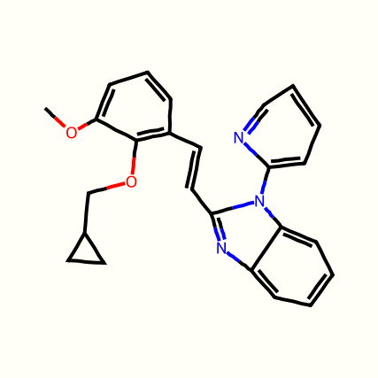 COc1cccc(C=Cc2nc3ccccc3n2-c2ccccn2)c1OCC1CC1